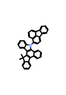 CC1(C)c2ccccc2-c2c1c1c3ccccc3n(-c3ccc4c5c(cccc35)-c3ccccc3-4)c1c1ccccc21